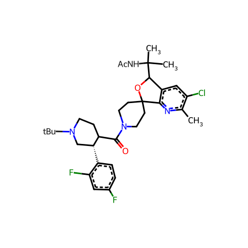 CC(=O)NC(C)(C)C1OC2(CCN(C(=O)C3CCN(C(C)(C)C)C[C@H]3c3ccc(F)cc3F)CC2)c2nc(C)c(Cl)cc21